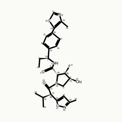 CC[C@H](NC(=O)[C@@H]1[C@@H](F)[C@@H](O)CN1C(=O)[C@@H](c1cc(C)no1)C(C)C)c1ccc(-c2scnc2C)cc1